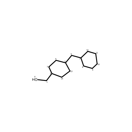 OCC1CCC(CC2CCCCC2)CC1